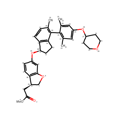 COC(=O)C[C@@H]1COc2cc(O[C@@H]3CCc4c3ccc(C#N)c4-c3c(C)cc(OC4CCOCC4)cc3C)ccc21